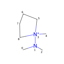 CN(C)[N+]1(C)CCCC1